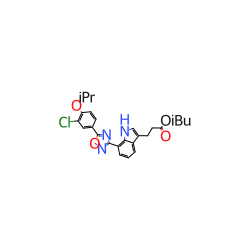 CC(C)COC(=O)CCc1c[nH]c2c(-c3noc(-c4ccc(OC(C)C)c(Cl)c4)n3)cccc12